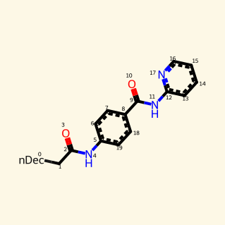 CCCCCCCCCCCC(=O)Nc1ccc(C(=O)Nc2ccccn2)cc1